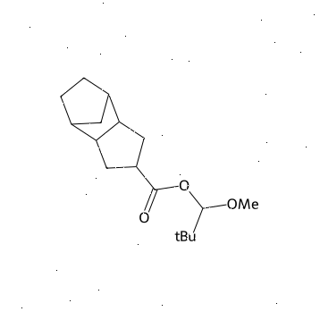 COC(OC(=O)C1CC2C3CCC(C3)C2C1)C(C)(C)C